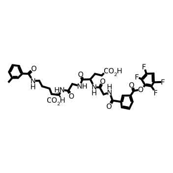 Cc1cccc(C(=O)NCCCC[C@@H](NC(=O)CNC(=O)C(CCC(=O)O)NC(=O)CNC(=O)c2cccc(C(=O)Oc3c(F)c(F)cc(F)c3F)c2)C(=O)O)c1